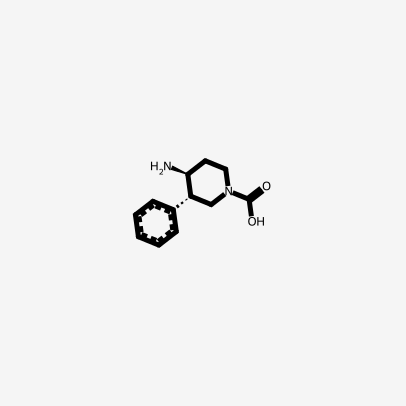 N[C@H]1CCN(C(=O)O)C[C@@H]1c1ccccc1